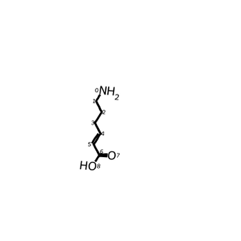 NCCCC=CC(=O)O